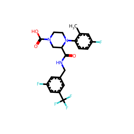 Cc1cc(F)ccc1N1CCN(C(=O)O)CC1C(=O)NCc1cc(F)cc(C(F)(F)F)c1